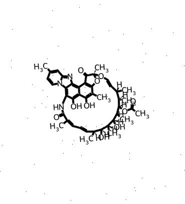 CC(=O)O[C@H]1[C@H](C)[C@H](O)[C@H](C)[C@@H](O)[C@@H](C)/C=C/C=C(/C)C(=O)Nc2c(O)c3c(O)c(C)c4c(c3c3nc5cc(C)ccn5c23)C(=O)[C@@](C)(O/C=C/[C@H](C)[C@H]1C)O4